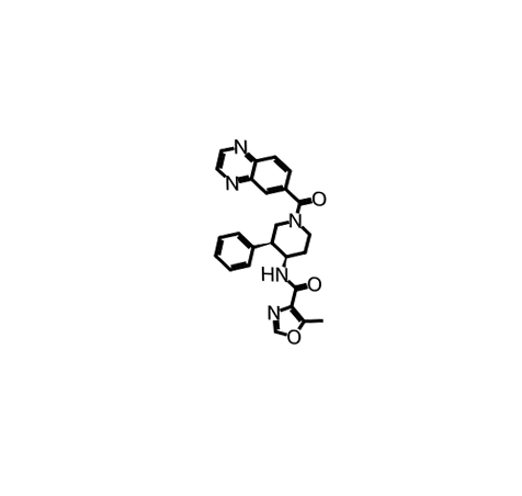 Cc1ocnc1C(=O)N[C@@H]1CCN(C(=O)c2ccc3nccnc3c2)C[C@@H]1c1ccccc1